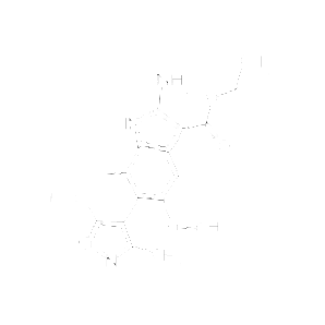 CCOC(=O)c1c(N)[nH]c2c(F)c(-c3c(C)noc3C)c(OC)cc12